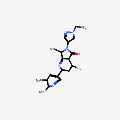 COC1C=C(C2CC(C)C3C(=O)N(C4C=NN(CC(F)(F)F)C4)C(OC(C)=O)C3=N2)C=NC1OC